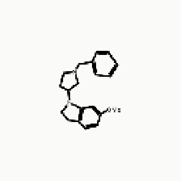 COc1ccc2c(c1)N(C1CCN(Cc3ccccc3)C1)CC2